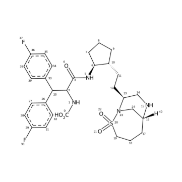 O=C(O)NC(C(=O)N[C@H]1CCC[C@@H]1CC[C@H]1CN[C@@H]2CCCS(=O)(=O)N1C2)C(c1ccc(F)cc1)c1ccc(F)cc1